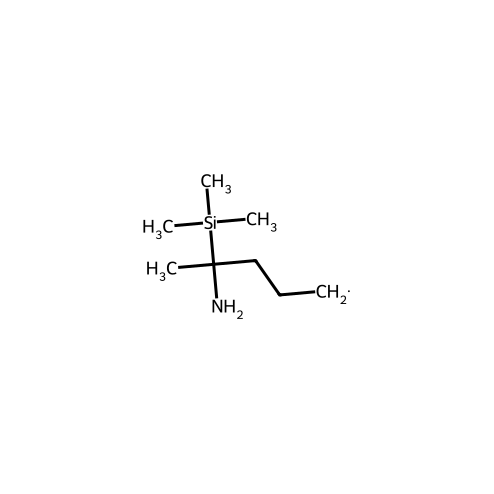 [CH2]CCC(C)(N)[Si](C)(C)C